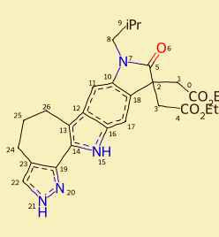 CCOC(=O)CC1(CC(=O)OCC)C(=O)N(CC(C)C)c2cc3c4c([nH]c3cc21)-c1n[nH]cc1CCC4